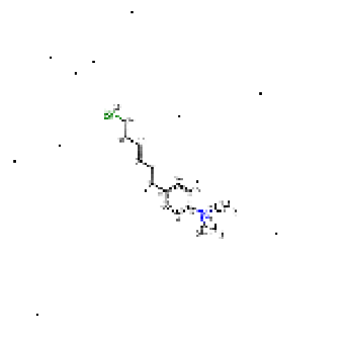 CN(C)c1ccc(CCC=CCCBr)cc1